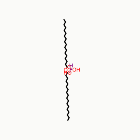 CCCCCCCCCCCCCCCCCCOCCCCCCCCCCCCCCCCCC.O=[PH](O)O